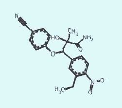 CCc1cc(C(Oc2ccc(C#N)cc2)C(C)(O)C(N)=O)ccc1[N+](=O)[O-]